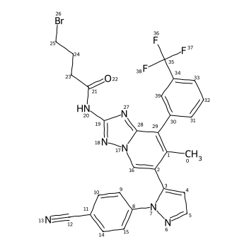 Cc1c(-c2ccnn2-c2ccc(C#N)cc2)cn2nc(NC(=O)CCCBr)nc2c1-c1cccc(C(F)(F)F)c1